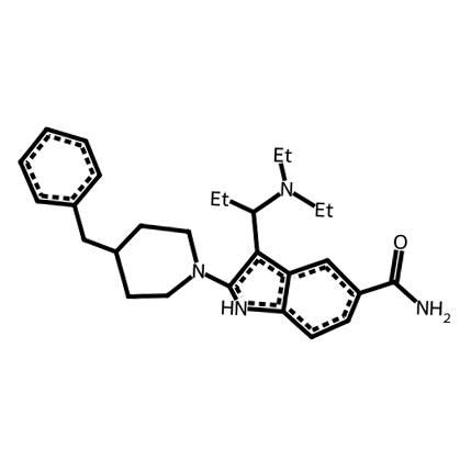 CCC(c1c(N2CCC(Cc3ccccc3)CC2)[nH]c2ccc(C(N)=O)cc12)N(CC)CC